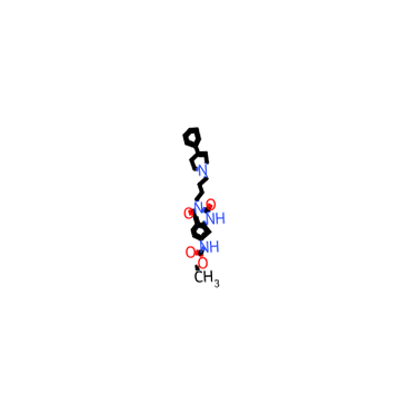 CCOC(=O)Nc1ccc2c(=O)n(CCCCN3CC=C(c4ccccc4)CC3)c(=O)[nH]c2c1